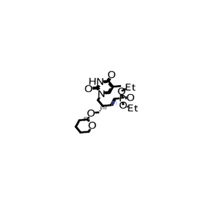 CCOP(=O)(/C=C/[C@H](CO[C@@H]1CCCCO1)Cn1cc(C)c(=O)[nH]c1=O)OCC